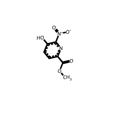 COC(=O)c1ccc(O)c([N+](=O)[O-])n1